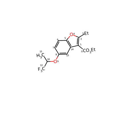 CCOC(=O)c1c(CC)oc2ccc(OC(C)C(F)(F)F)cc12